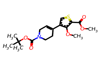 COC(=O)c1scc(C2=CCN(C(=O)OC(C)(C)C)CC2)c1OC